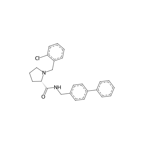 O=C(NCc1ccc(-c2ccccc2)cc1)[C@@H]1CCCN1Cc1ccccc1Cl